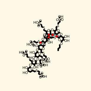 CCCCOC1OC(CSCCS(=O)(=O)O)C(OC2OC(CSCCS(=O)(=O)O)C(OC3OC(CSCCS(=O)(=O)O)C(OC4OC(CSCCS(=O)(=O)O)C(OC5OC(CSCCS(=O)(=O)O)C(OC6OC(CSCCS(=O)(=O)O)C(OC7OC(CSCCS(=O)(=O)O)C(OC8OC(CSCCS(=O)(=O)O)CC(O)C8O)C(O)C7O)C(O)C6O)C(O)C5O)C(O)C4O)C(O)C3O)C(O)C2O)C(O)C1O